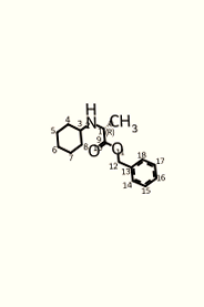 C[C@@H](NC1CCCCC1)C(=O)OCc1ccccc1